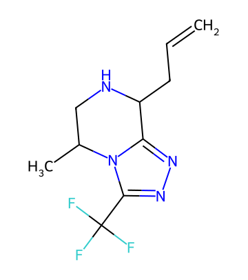 C=CCC1NCC(C)n2c1nnc2C(F)(F)F